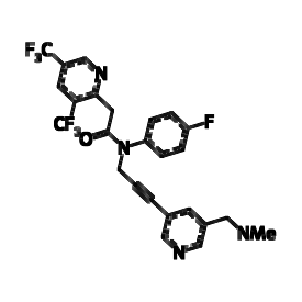 CNCc1cncc(C#CCN(C(=O)Cc2ncc(C(F)(F)F)cc2C(F)(F)F)c2ccc(F)cc2)c1